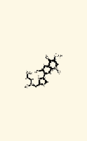 CCn1cc(C(=O)O)c(=O)c2cc(F)c(-c3csc(CN(CCOC(C)=O)C(C)=O)n3)cc21